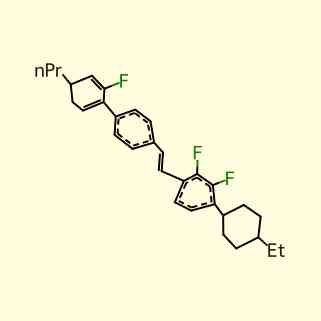 CCCC1C=C(F)C(c2ccc(/C=C/c3ccc(C4CCC(CC)CC4)c(F)c3F)cc2)=CC1